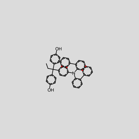 CCC(c1ccc(O)cc1)(c1ccc(O)cc1)c1ccc(N(c2ccccc2-c2ccccc2)c2ccccc2-c2ccccc2)cc1